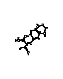 CC(=O)/C(=C/c1ccc2c(c1)OCCO2)C(=O)O